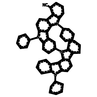 N#Cc1cccc2c1c1ccc3c(c4cc(-n5c6ccccc6c6ccc7c(c8ccccc8n7-c7ccccc7)c65)ccc4n3-c3ccccc3)c1n2-c1ccccc1